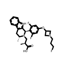 C[C@@H]1Cc2c([nH]c3ccccc23)[C@@H](c2c(F)cc(OC3CN(CCCF)C3)cc2F)N1C[C@H](C)C(=O)O